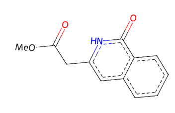 COC(=O)Cc1cc2ccccc2c(=O)[nH]1